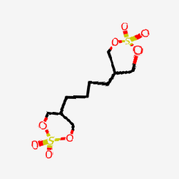 O=S1(=O)OCC(CCCCC2COS(=O)(=O)OC2)CO1